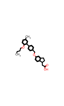 CCCCOc1ccc(C)cc1-c1ccc(COc2ccc3c(c2)CCC3CC(=O)O)cc1